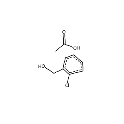 CC(=O)O.OCc1ccccc1Cl